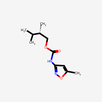 Cc1cc(NC(=O)OC[C@@H](C)C(C)C)no1